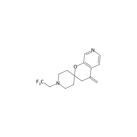 C=C1CC2(CCN(CC(F)(F)F)CC2)Oc2cnccc21